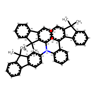 CC1(C)c2ccccc2-c2ccc(N(c3ccccc3-c3cccc4c3-c3ccccc3C4(C)C)c3cccc4c3C(C)(C)c3ccccc3-4)cc21